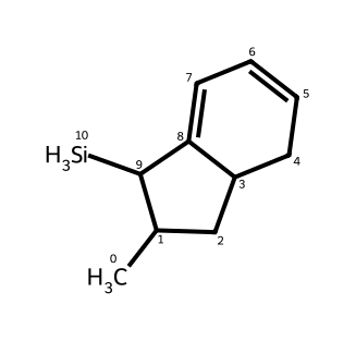 CC1CC2CC=CC=C2C1[SiH3]